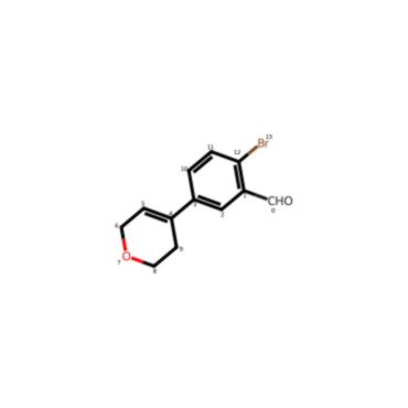 O=Cc1cc(C2=CCOCC2)ccc1Br